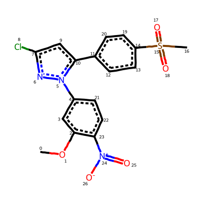 COc1cc(-n2nc(Cl)cc2-c2ccc(S(C)(=O)=O)cc2)ccc1[N+](=O)[O-]